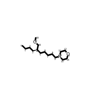 CCCC[C@H](CCCCCN1CCOCC1)COC